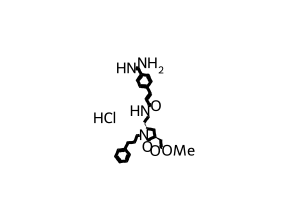 COC(=O)C[C@@H]1C[C@@H](CCNC(=O)C=Cc2ccc(C(=N)N)cc2)N(CCCc2ccccc2)C1=O.Cl